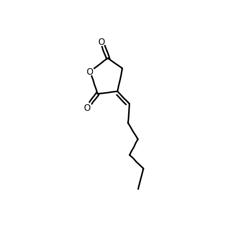 CCCCCC=C1CC(=O)OC1=O